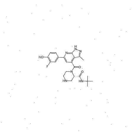 Cc1n[nH]c2nc(-c3ccc(O)c(F)c3)cc(C(=O)N3CCNC[C@H]3C(=O)NC(C)(C)C)c12